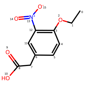 CCOc1ccc(CC(=O)O)cc1[N+](=O)[O-]